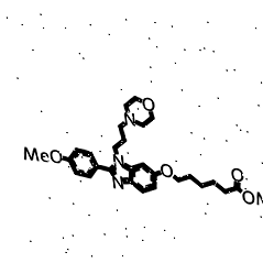 COC(=O)CCCCCOc1ccc2nc(-c3ccc(OC)cc3)n(CCCN3CCOCC3)c2c1